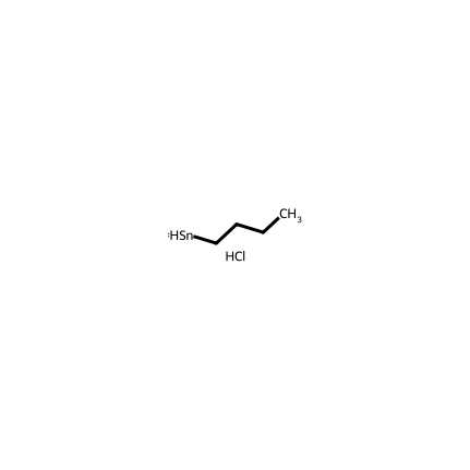 CCC[CH2][SnH].Cl